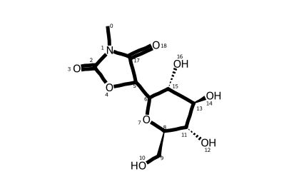 CN1C(=O)OC(C2O[C@H](CO)[C@@H](O)[C@H](O)[C@H]2O)C1=O